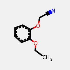 CCOc1ccccc1OCC#N